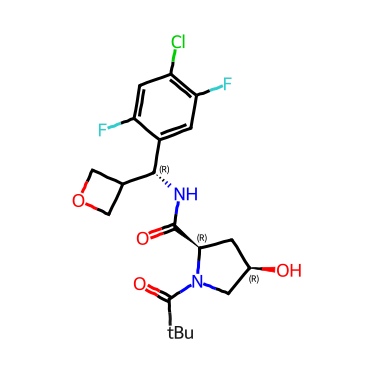 CC(C)(C)C(=O)N1C[C@H](O)C[C@@H]1C(=O)N[C@@H](c1cc(F)c(Cl)cc1F)C1COC1